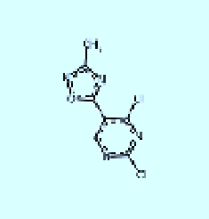 Cc1noc(-c2cnc(Cl)nc2Cl)n1